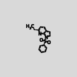 CCc1ccc2ccn(S(=O)(=O)c3ccccc3)c2n1